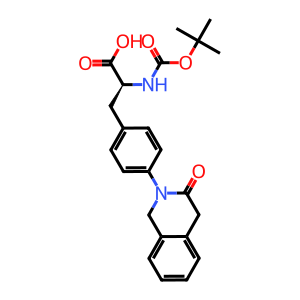 CC(C)(C)OC(=O)N[C@@H](Cc1ccc(N2Cc3ccccc3CC2=O)cc1)C(=O)O